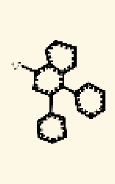 Cc1cc(-c2ccccc2)c(-c2ccccc2)c2ccccc12